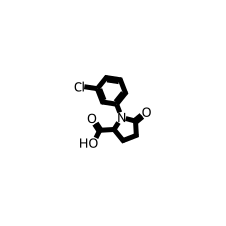 O=C(O)C1CCC(=O)N1c1cccc(Cl)c1